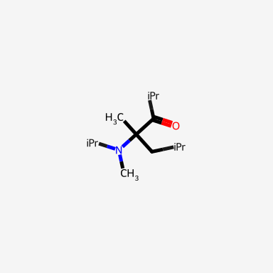 CC(C)CC(C)(C(=O)C(C)C)N(C)C(C)C